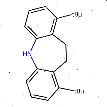 CC(C)(C)c1cccc2c1CCc1c(cccc1C(C)(C)C)N2